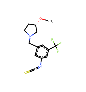 CO[C@H]1CCN(Cc2cc(N=C=S)cc(C(F)(F)F)c2)C1